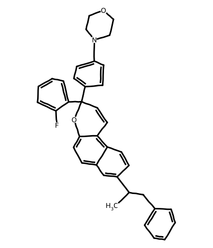 CC(Cc1ccccc1)c1ccc2c3c(ccc2c1)OC(c1ccc(N2CCOCC2)cc1)(c1ccccc1F)C=C3